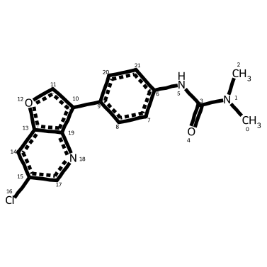 CN(C)C(=O)Nc1ccc(-c2coc3cc(Cl)cnc23)cc1